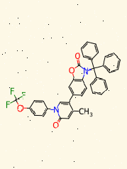 Cc1cc(=O)n(-c2ccc(OC(F)(F)F)cc2)cc1-c1ccc2c(c1)oc(=O)n2C(c1ccccc1)(c1ccccc1)c1ccccc1